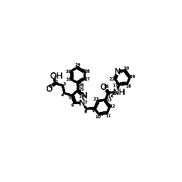 O=C(O)CCc1cn(Cc2cccc(C(=O)Nc3cccnc3)c2)nc1-c1ccccc1